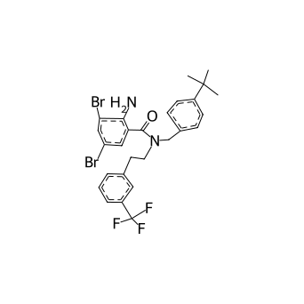 CC(C)(C)c1ccc(CN(CCc2cccc(C(F)(F)F)c2)C(=O)c2cc(Br)cc(Br)c2N)cc1